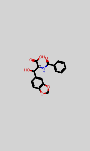 O=C(N[C@H](C(=O)O)C(O)c1ccc2c(c1)OCO2)c1ccccc1